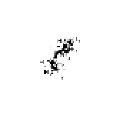 CC(C)(C)CC(C)(C)OCCC(C)(C)C1CCN(C(C)(C)C)C1